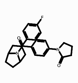 O=C1CCCN1c1ccc(C(=O)N2C3CCC2CC(c2ccc(F)cc2)C3)cc1